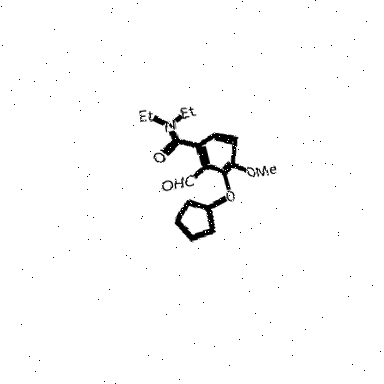 CCN(CC)C(=O)c1ccc(OC)c(OC2CCCC2)c1C=O